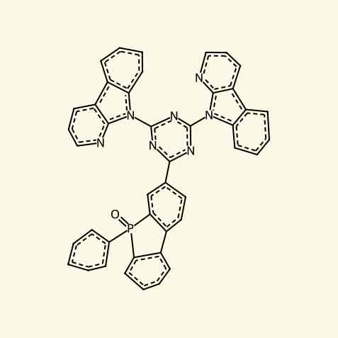 O=P1(c2ccccc2)c2ccccc2-c2ccc(-c3nc(-n4c5ccccc5c5cccnc54)nc(-n4c5ccccc5c5cccnc54)n3)cc21